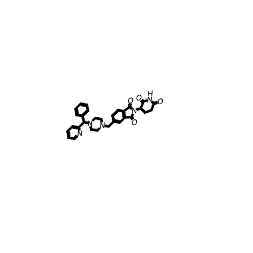 O=C1CCC(N2C(=O)c3ccc(CN4CCN(C(c5ccccc5)c5ccccn5)CC4)cc3C2=O)C(=O)N1